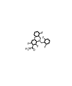 NC(=O)c1c(F)ccc(N(Cc2c(F)cccc2F)Cc2c(F)cccc2F)c1F